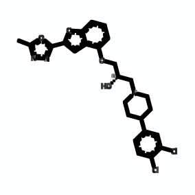 Cc1nnc(-c2cc3c(OC[C@@H](O)CN4CCC(c5ccc(Cl)c(Cl)c5)CC4)cccc3o2)o1